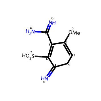 COC1=CCC(=N)C(S(=O)(=O)O)=C1C(=N)N